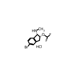 CN[C@H]1c2ccc(Br)cc2C[C@H]1OC(F)F.Cl